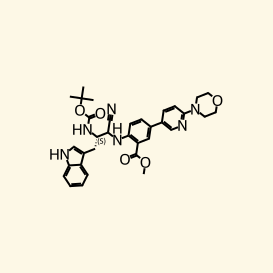 COC(=O)c1cc(-c2ccc(N3CCOCC3)nc2)ccc1NC(C#N)[C@H](Cc1c[nH]c2ccccc12)NC(=O)OC(C)(C)C